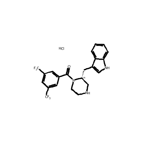 Cl.O=C(c1cc(C(F)(F)F)cc(C(F)(F)F)c1)N1CCNC[C@H]1Cc1c[nH]c2ccccc12